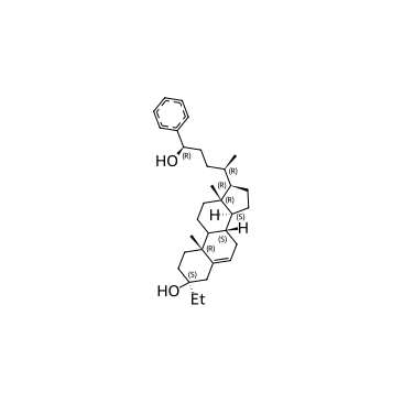 CC[C@]1(O)CC[C@@]2(C)C(=CC[C@@H]3C2CC[C@]2(C)[C@@H]([C@H](C)CC[C@@H](O)c4ccccc4)CC[C@@H]32)C1